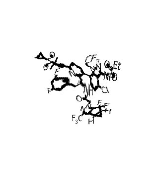 CCS(=O)(=O)Nc1nn(CC(F)(F)F)c2c(-c3ccc(C#CC(C)(C)S(=O)(=O)C4CC4)nc3[C@H](Cc3cc(F)cc(F)c3)NC(=O)Cn3nc(C(F)(F)F)c4c3C(F)(F)[C@@H]3C[C@H]43)ccc(Cl)c12